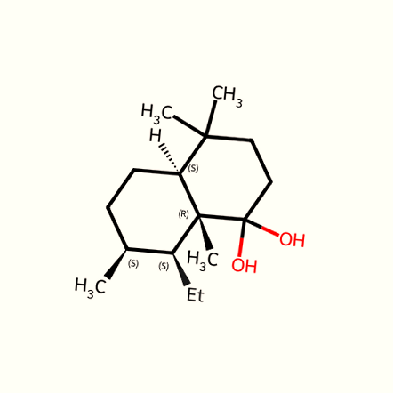 CC[C@H]1[C@@H](C)CC[C@H]2C(C)(C)CCC(O)(O)[C@]12C